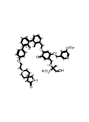 CNc1cncc(COc2cc(OCc3cccc(-c4cccc(-c5ccc(OCCN6CCC7(CC6)CNC(=O)C7)cc5)c4C)c3C)c(Cl)cc2CNC(C)(CO)C(=O)O)c1